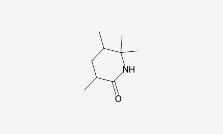 CC1CC(C)C(C)(C)NC1=O